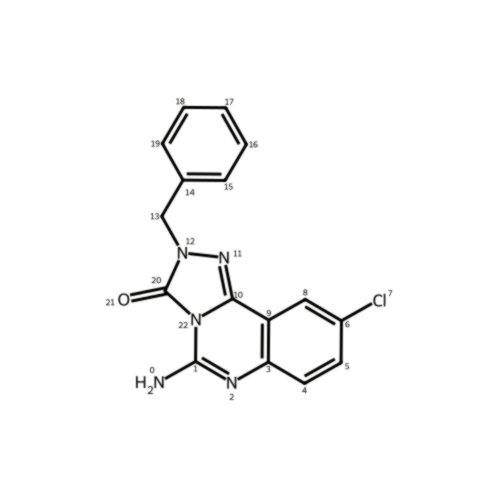 Nc1nc2ccc(Cl)cc2c2nn(Cc3ccccc3)c(=O)n12